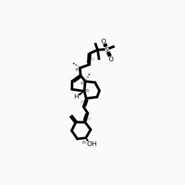 C=C1CC[C@H](O)C/C1=C/C=C1\CCC[C@]2(C)C([C@H](C)/C=C/C(C)(C)S(C)(=O)=O)=CC[C@@H]12